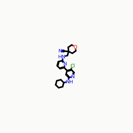 N#CC1(CNc2cccc(-c3cc(NC4CCCCC4)ncc3Cl)n2)CCOCC1